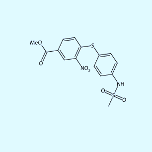 COC(=O)c1ccc(Sc2ccc(NS(C)(=O)=O)cc2)c([N+](=O)[O-])c1